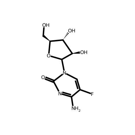 Nc1nc(=O)n(C2O[C@@H](CO)[C@H](O)[C@H]2O)cc1F